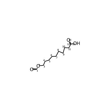 O=COCCCCCCCCCC(=O)O